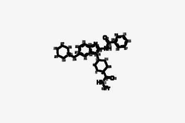 CC(C)NC(=O)[C@H]1CC[C@@H](n2c(NC(=O)c3ccccc3)nc3ccc(CN4CCCCC4)cc32)CC1